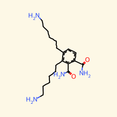 NCCCCCCc1ccc(C(N)=O)c(C(N)=O)c1CCCCCCN